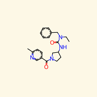 CCN(Cc1ccccc1)C(=O)NC1CCN(C(=O)c2ccc(C)nc2)C1